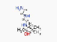 CC(C)(C)CC(C)(O)CNCCNCCN